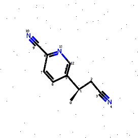 C[C@H](CC#N)c1ccc(C#N)nc1